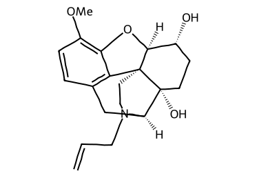 C=CCN1CC[C@]23c4c5ccc(OC)c4O[C@H]2[C@H](O)CC[C@@]3(O)[C@H]1C5